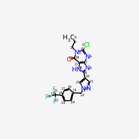 CCCn1c(Cl)nc2nc(-c3cnn(Cc4ccc(C(F)(F)F)cc4)c3)[nH]c2c1=O